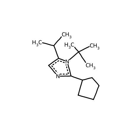 CC(C)c1cnc(C2CCCC2)n1C(C)(C)C